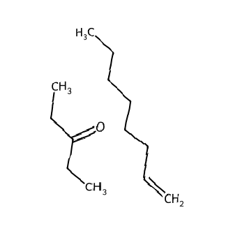 C=CCCCCCC.CCC(=O)CC